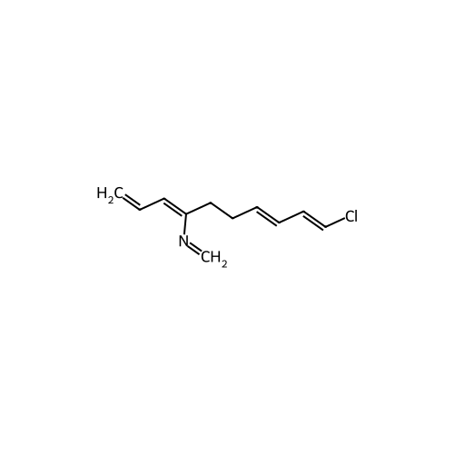 C=C/C=C(/CC/C=C/C=C/Cl)N=C